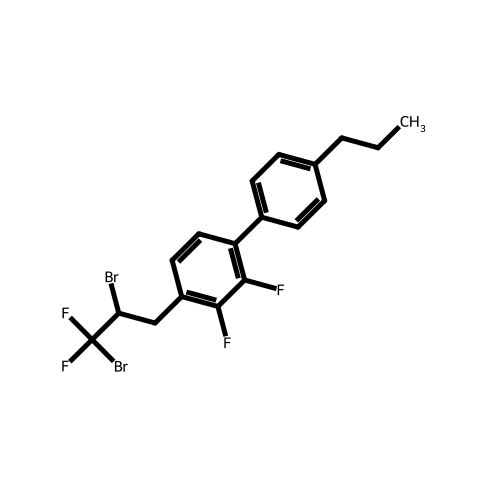 CCCc1ccc(-c2ccc(CC(Br)C(F)(F)Br)c(F)c2F)cc1